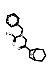 O=C(CN(Cc1ccccc1)C(=O)O)C1CC2CCCC1N2